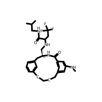 CNc1cc2cc(c1)C(=O)N[C@H](CNC(CC(F)(F)F)C(=O)NCC(C)C)Cc1cccc(c1)CCCC2